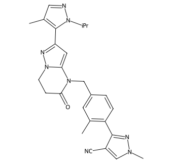 Cc1cc(CN2C(=O)CCn3nc(-c4c(C)cnn4C(C)C)cc32)ccc1-c1nn(C)cc1C#N